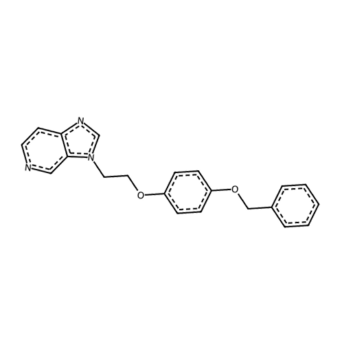 c1ccc(COc2ccc(OCCn3cnc4ccncc43)cc2)cc1